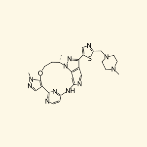 C[C@H]1CCOc2c(cnn2C)-c2nccc(n2)Nc2cc3c(cn2)c(-c2cnc(CN4CCN(C)CC4)s2)nn31